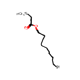 CC(C)CCCCCCCOC(=O)CS(=O)(=O)O